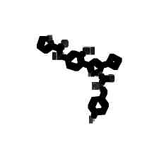 O=C(Nc1ccc(-c2cc(C3CCC3)n(C(=O)NCc3ccc(F)cc3)n2)c(O)c1)c1cccs1